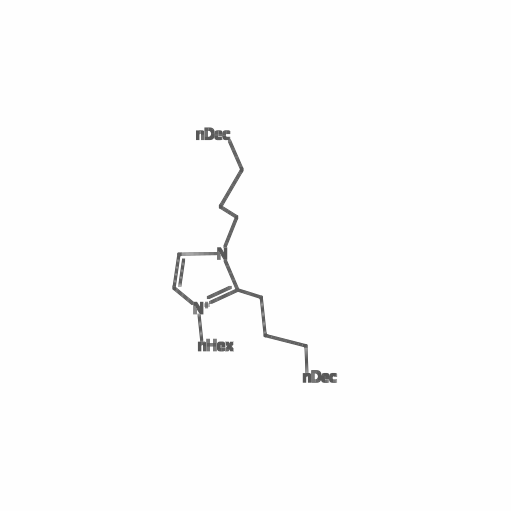 CCCCCCCCCCCCCc1n(CCCCCCCCCCCCC)cc[n+]1CCCCCC